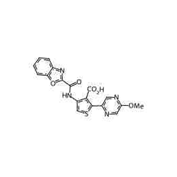 COc1cnc(-c2scc(NC(=O)c3nc4ccccc4o3)c2C(=O)O)cn1